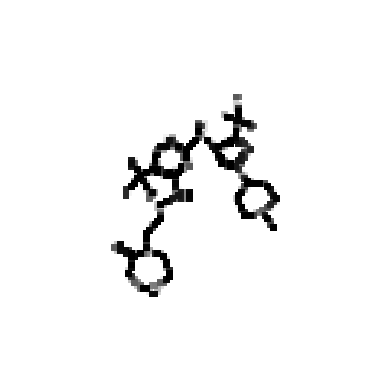 CN1CCC(n2cc(Nc3ncc(C(F)(F)F)c(NCCCN4CCOCCC4=O)n3)c(C(F)(F)F)n2)CC1